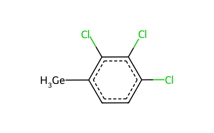 Clc1cc[c]([GeH3])c(Cl)c1Cl